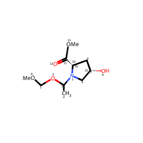 COCOC(C)N1C[C@@H](O)C[C@H]1C(=O)OC